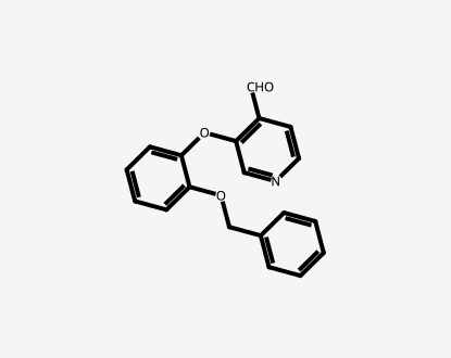 O=Cc1ccncc1Oc1ccccc1OCc1ccccc1